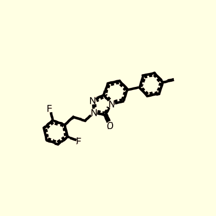 Cc1ccc(-c2ccc3nn(CCc4c(F)cccc4F)c(=O)n3c2)cc1